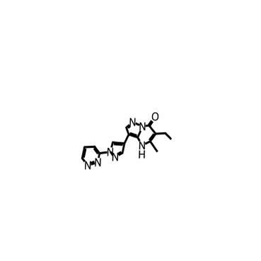 CCc1c(C)[nH]c2c(-c3cnn(-c4cccnn4)c3)cnn2c1=O